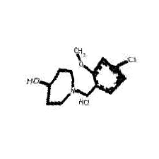 COc1cc(Cl)ccc1CN1CCC(O)CC1.Cl